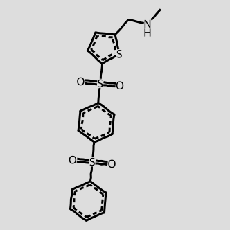 CNCc1ccc(S(=O)(=O)c2ccc(S(=O)(=O)c3ccccc3)cc2)s1